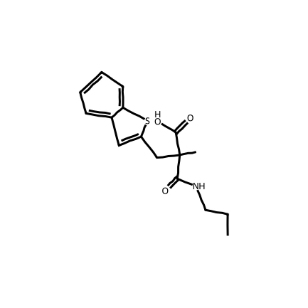 CCCNC(=O)C(C)(Cc1cc2ccccc2s1)C(=O)O